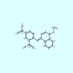 CCN1C=CC(=Cc2ccc([N+](=O)[O-])cc2[N+](=O)[O-])c2ccccc21